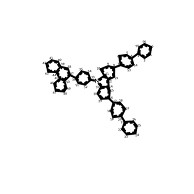 c1ccc(-c2ccc(-c3ccc4c(c3)c3cc(-c5ccc(-c6ccccc6)cc5)ccc3n4-c3ccc(-c4cc5ccccc5c5ccccc45)cc3)cc2)cc1